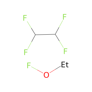 CCOF.FC(F)C(F)F